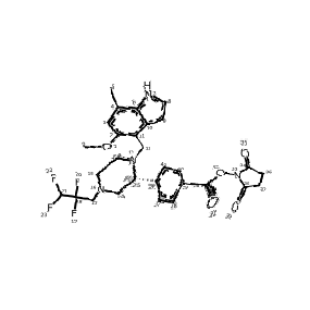 COc1cc(C)c2[nH]ccc2c1CN1CCN(CC(F)(F)C(F)F)C[C@H]1c1ccc(C(=O)ON2C(=O)CCC2=O)cc1